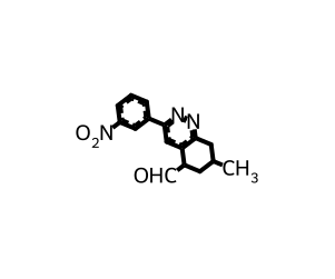 CC1Cc2nnc(-c3cccc([N+](=O)[O-])c3)cc2C(C=O)C1